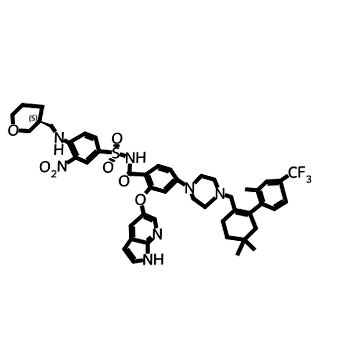 Cc1cc(C(F)(F)F)ccc1C1=C(CN2CCN(c3ccc(C(=O)NS(=O)(=O)c4ccc(NC[C@@H]5CCCOC5)c([N+](=O)[O-])c4)c(Oc4cnc5[nH]ccc5c4)c3)CC2)CCC(C)(C)C1